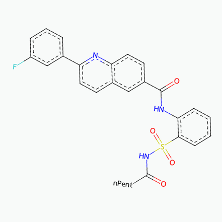 CCCCCC(=O)NS(=O)(=O)c1ccccc1NC(=O)c1ccc2nc(-c3cccc(F)c3)ccc2c1